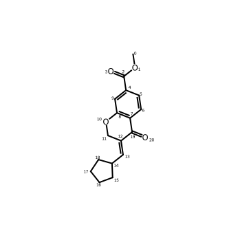 COC(=O)c1ccc2c(c1)OCC(=CC1CCCC1)C2=O